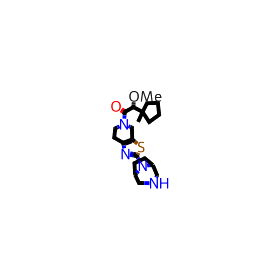 COC(C(=O)N1CCc2nc(N3C4CCC3CNC4)sc2C1)C1(C)CCCC1